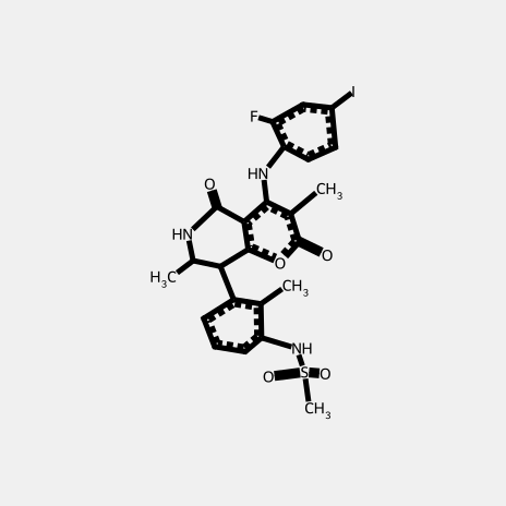 Cc1c(NS(C)(=O)=O)cccc1C1c2oc(=O)c(C)c(Nc3ccc(I)cc3F)c2C(=O)NC1C